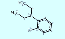 CCP(CC)c1ccccc1Br